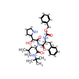 CC(C)C[C@H](C(=O)NC(C)(C)C)N(C(=O)C(O)C1CCCN1)C(=O)[C@H](Cc1ccccc1)NC(=O)OCc1ccccc1